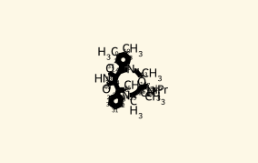 Cc1cc2c3cn(c2cc1C)CC(C)O[C@](C)(CN(C)C(C)C)CC(C)n1c(C)c(c2ccccc21)C1=C3C(=O)NC1=O